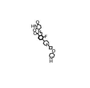 O=C1CCC(N2Cc3c(ccc(C4CCN(C5CC(OC6CCNCC6)C5)CC4)c3F)C2=O)C(=O)N1